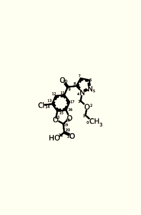 CCOCn1nccc1C(=O)c1cc(Cl)c2c(c1)OC(C(=O)O)O2